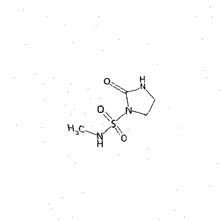 CNS(=O)(=O)N1CCNC1=O